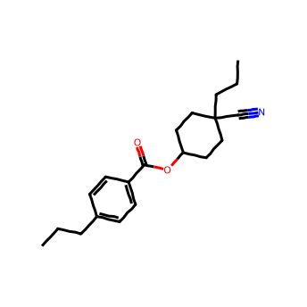 CCCc1ccc(C(=O)OC2CCC(C#N)(CCC)CC2)cc1